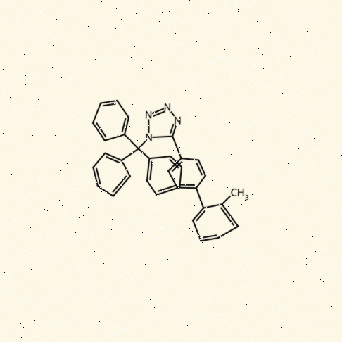 Cc1ccccc1-c1ccc(-c2nnnn2C(c2ccccc2)(c2ccccc2)c2ccccc2)cc1